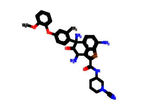 COc1ccccc1Oc1ccc(C2(N)C(=O)C(N)c3c(C(=O)NC4CCCN(C#N)C4)sc4c(N)ccc2c34)c(C)c1